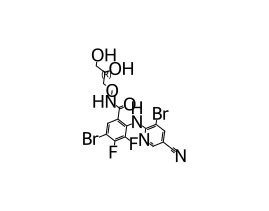 N#Cc1cnc(Nc2c(C(=O)NOC[C@H](O)CO)cc(Br)c(F)c2F)c(Br)c1